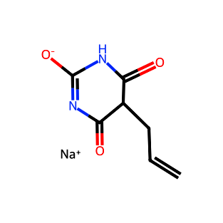 C=CCC1C(=O)N=C([O-])NC1=O.[Na+]